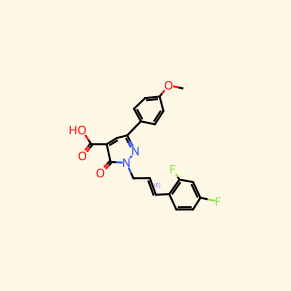 COc1ccc(-c2cc(C(=O)O)c(=O)n(C/C=C/c3ccc(F)cc3F)n2)cc1